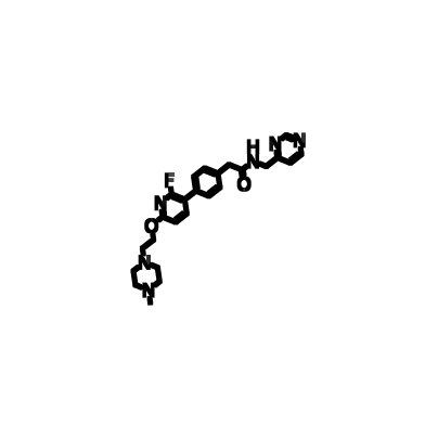 CN1CCN(CCOc2ccc(-c3ccc(CC(=O)NCc4ccncn4)cc3)c(F)n2)CC1